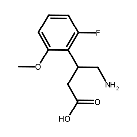 COc1cccc(F)c1C(CN)CC(=O)O